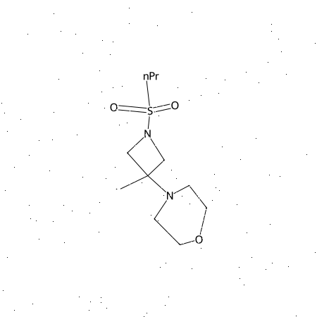 [CH2]C1(N2CCOCC2)CN(S(=O)(=O)CCC)C1